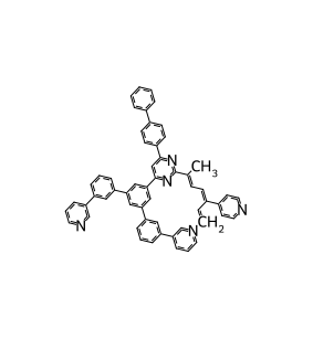 C=C/C(=C\C=C(/C)c1nc(-c2ccc(-c3ccccc3)cc2)cc(-c2cc(-c3cccc(-c4cccnc4)c3)cc(-c3cccc(-c4cccnc4)c3)c2)n1)c1ccncc1